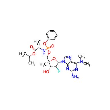 CC(C)OC(=O)[C@H](C)NP(=O)(OC[C@@]1(C)O[C@@H](n2cnc3c(N(C)C)nc(N)nc32)[C@@H](F)[C@@H]1O)Oc1ccccc1